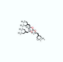 CCC(=C[SiH2]OB(O[SiH2]C=C(CC)CC)O[SiH2]C=C(CC)CC)CC